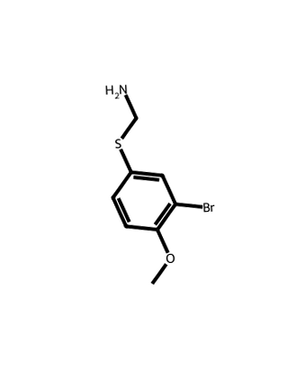 COc1ccc(SCN)cc1Br